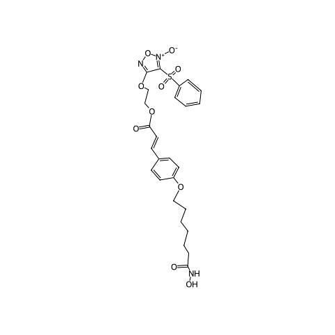 O=C(CCCCCCOc1ccc(C=CC(=O)OCCOc2no[n+]([O-])c2S(=O)(=O)c2ccccc2)cc1)NO